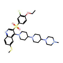 CCOc1ccc(S(=O)(=O)c2cnc3ccc(SC)cc3c2N2CCC(N3CCC(N4CCN(C)CC4)CC3)CC2)cc1F